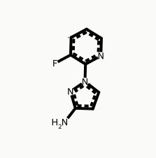 Nc1ccn(-c2ncc[c]c2F)n1